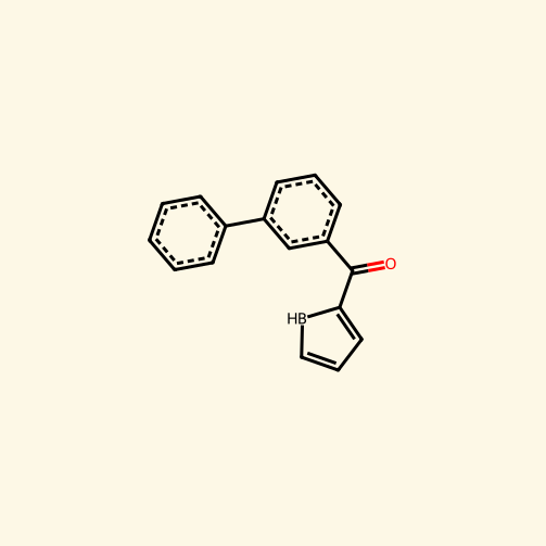 O=C(C1=CC=CB1)c1cccc(-c2ccccc2)c1